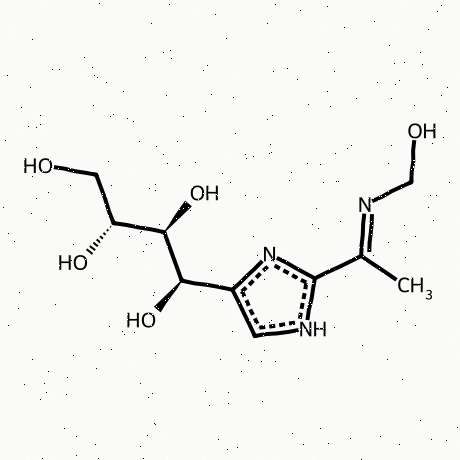 CC(=NCO)c1nc([C@@H](O)[C@H](O)[C@H](O)CO)c[nH]1